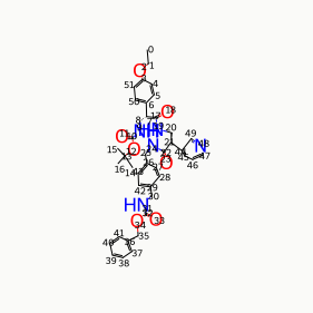 CCOc1ccc([C@@H](CNC(=O)OC(C)(C)C)C(=O)NC[C@H](C(=O)NCc2ccc(CNC(=O)OCc3ccccc3)cc2)c2cccnc2)cc1